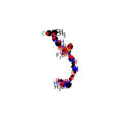 Cc1nc2cccc(NCCOCCOCc3cn(CCCC(=O)N4CCN(CC[C@H](CSc5ccccc5)Nc5ccc(S(=O)(=O)NC(=O)c6ccc(N7CCN(CC8=C(c9ccc(Cl)cc9)CCC(C)(C)C8)CC7)cc6)cc5S(=O)(=O)C(F)(F)F)CC4)nn3)c2c(=O)n1C1CCC(=O)NC1=O